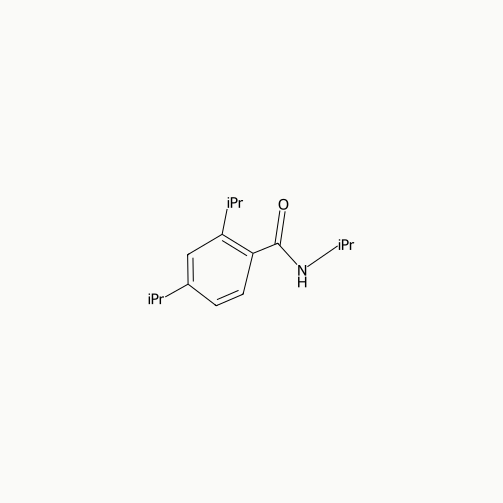 CC(C)NC(=O)c1ccc(C(C)C)cc1C(C)C